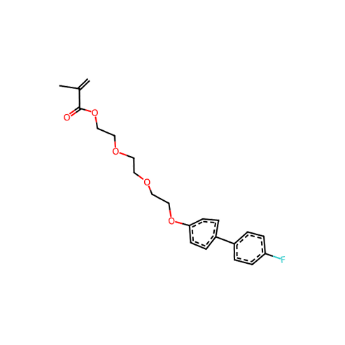 C=C(C)C(=O)OCCOCCOCCOc1ccc(-c2ccc(F)cc2)cc1